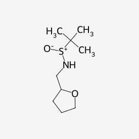 CC(C)(C)[S+]([O-])NCC1CCCO1